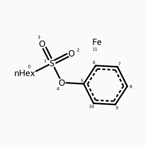 CCCCCCS(=O)(=O)Oc1ccccc1.[Fe]